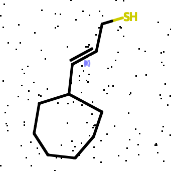 SC/C=C/C1CCCCCC1